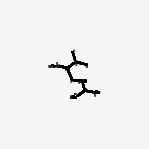 CCCCCC(CNC(CCCC)C(C)(C)C)N(C)C